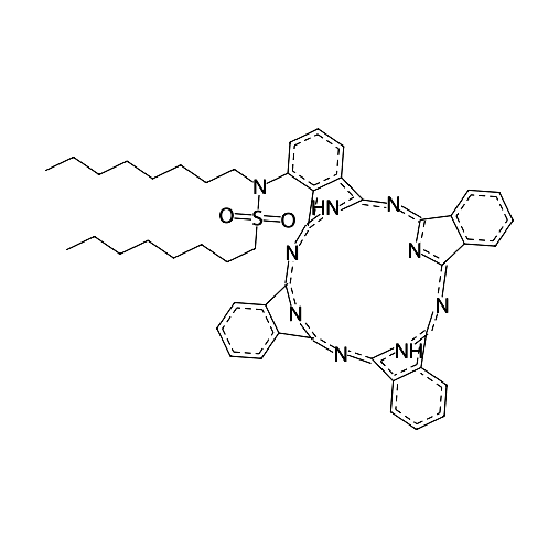 CCCCCCCCN(c1cccc2c3nc4nc(nc5[nH]c(nc6nc(nc([nH]3)c12)-c1ccccc1-6)c1ccccc51)-c1ccccc1-4)S(=O)(=O)CCCCCCCC